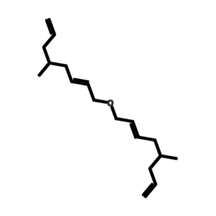 C=CCC(C)CC=CCOCC=CCC(C)CC=C